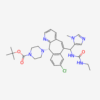 CCNC(=O)NC(C1=Cc2cccnc2[C@@H](N2CCN(C(=O)OC(C)(C)C)CC2)c2ccc(Cl)cc21)c1cncn1C